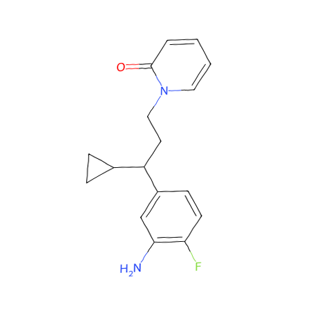 Nc1cc(C(CCn2ccccc2=O)C2CC2)ccc1F